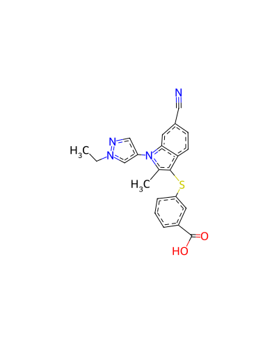 CCn1cc(-n2c(C)c(Sc3cccc(C(=O)O)c3)c3ccc(C#N)cc32)cn1